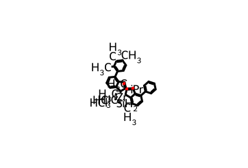 CC1=Cc2c(-c3ccccc3)ccc(C)c2[CH]1[Zr]([CH3])([CH3])(=[SiH2])[CH]1C(C(C)C)=Cc2c(-c3ccc(C)c(C)c3C)cccc21.Cl.Cl